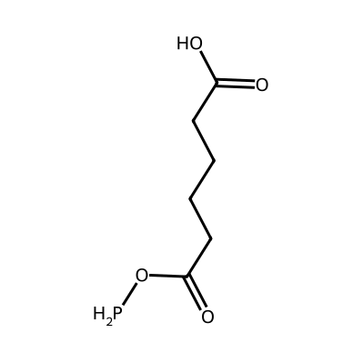 O=C(O)CCCCC(=O)OP